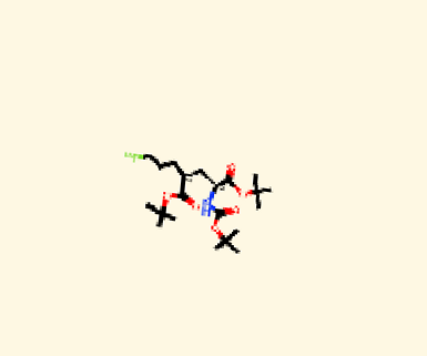 CC(C)(C)OC(=O)N[C@@H](C[C@H](CCC[18F])C(=O)OC(C)(C)C)C(=O)OC(C)(C)C